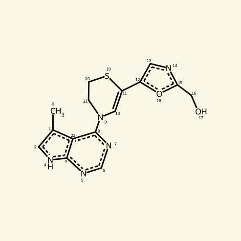 Cc1c[nH]c2ncnc(N3C=C(c4cnc(CO)o4)SCC3)c12